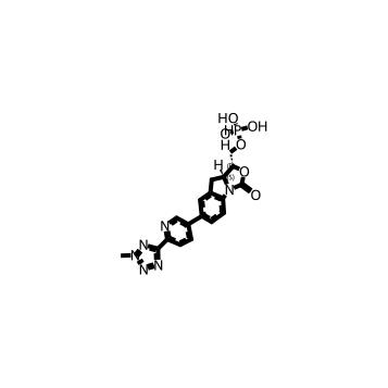 Cn1nnc(-c2ccc(-c3ccc4c(c3)C[C@H]3[C@H](CO[PH](O)(O)O)OC(=O)N43)cn2)n1